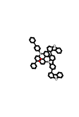 c1ccc(-c2ccc(N(c3ccc(-c4ccccc4)cc3)c3ccccc3-c3ccccc3-n3c4cc(-c5cccc6oc7ccccc7c56)ccc4c4ccc(-c5cccc6oc7ccccc7c56)cc43)cc2)cc1